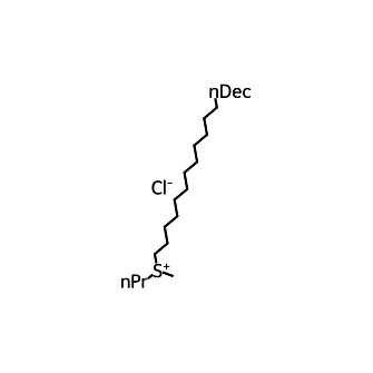 CCCCCCCCCCCCCCCCCCCCCC[S+](C)CCC.[Cl-]